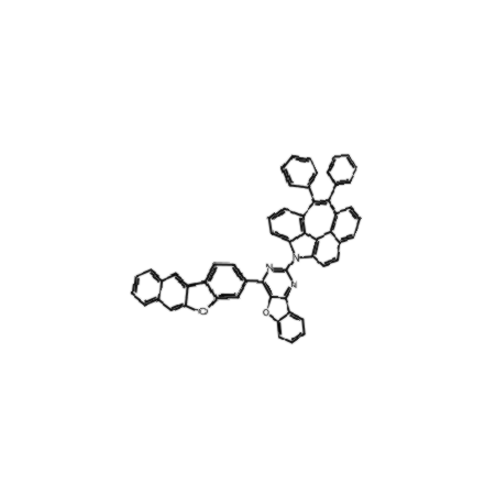 c1ccc(C2=C(c3ccccc3)c3cccc4c3c3c5c2cccc5ccc3n4-c2nc(-c3ccc4c(c3)oc3cc5ccccc5cc34)c3oc4ccccc4c3n2)cc1